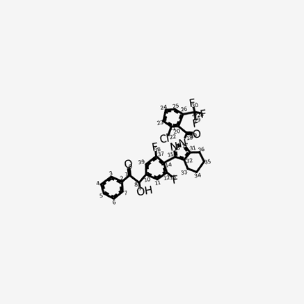 O=C(c1ccccc1)C(O)c1cc(F)c(-c2nn(C(=O)c3c(Cl)cccc3C(F)(F)F)c3c2CCCC3)c(F)c1